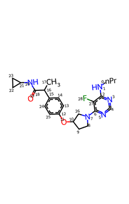 CCCNc1ncnc(N2CCC(Oc3ccc(C(C)C(=O)NC4CC4)cc3)C2)c1F